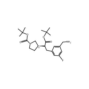 CC(C)(C)OC(=O)C(Cc1cc(F)cc(CN)c1)[C@H]1CCN(C(=O)OC(C)(C)C)C1